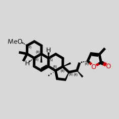 CO[C@@H]1CC[C@]2(C)[C@@H]3CC[C@]4(C)[C@@H]([C@H](C)C[C@@H]5C=C(C)C(=O)O5)CC[C@@]4(C)C3=CC[C@H]2C1(C)C